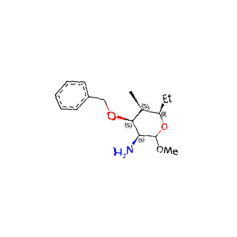 CC[C@H]1OC(OC)[C@@H](N)[C@@H](OCc2ccccc2)[C@H]1C